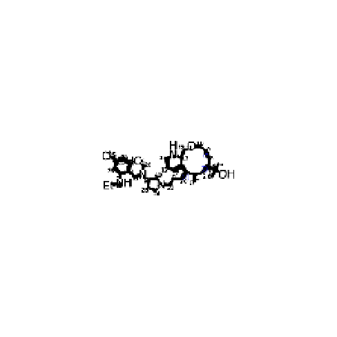 C=C1/C=C(C(C)(C)O)\C=C/COCC2NC=CC=C2/C1=C\CCN1CC[C@@H](N(CC=O)Cc2ccc(Cl)cc2NCC)C1